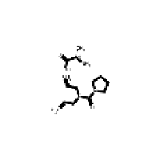 C=CCN(CC=C)C(=O)N1CCCC1.C[C@H](N)C(=O)O